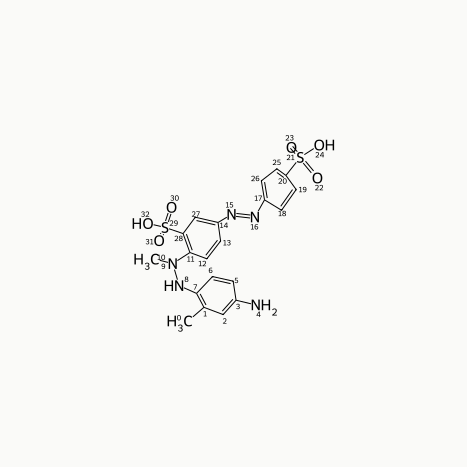 Cc1cc(N)ccc1NN(C)c1ccc(N=Nc2ccc(S(=O)(=O)O)cc2)cc1S(=O)(=O)O